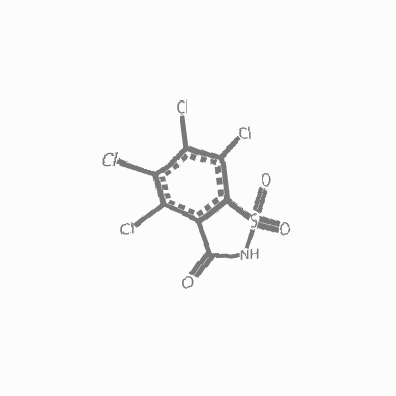 O=C1NS(=O)(=O)c2c(Cl)c(Cl)c(Cl)c(Cl)c21